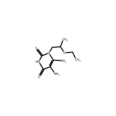 CCOC(C)Cn1c(N)c(N)c(=O)[nH]c1=S